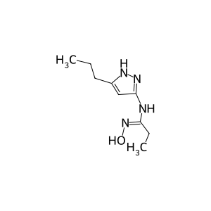 CCCc1cc(NC(CC)=NO)n[nH]1